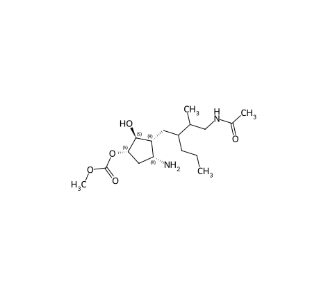 CCCC(C[C@H]1[C@H](O)[C@@H](OC(=O)OC)C[C@H]1N)C(C)CNC(C)=O